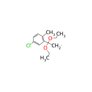 [CH2]C(OCC)(OCC)c1cc(Cl)ccc1C